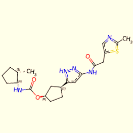 Cc1ncc(CC(=O)Nc2cc([C@H]3CC[C@@H](OC(=O)N[C@@H]4CCC[C@@H]4C)C3)[nH]n2)s1